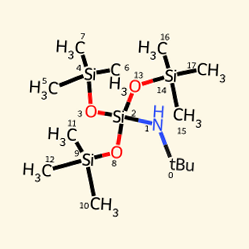 CC(C)(C)N[Si](O[Si](C)(C)C)(O[Si](C)(C)C)O[Si](C)(C)C